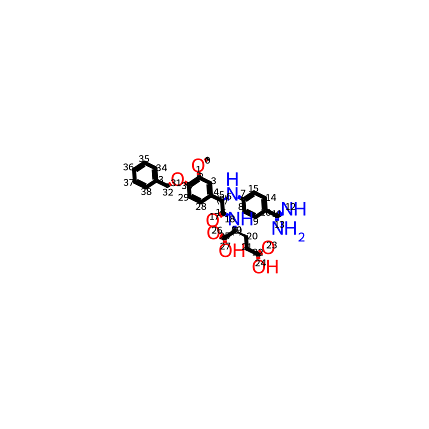 COc1cc([C@@H](Nc2ccc(C(=N)N)cc2)C(=O)N[C@@H](CCC(=O)O)C(=O)O)ccc1OCc1ccccc1